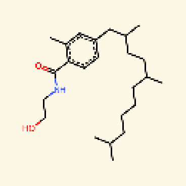 Cc1cc(CC(C)CCC(C)CCCCC(C)C)ccc1C(=O)NCCO